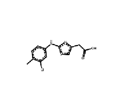 Cc1ccc(Nc2nc(CC(=O)O)cs2)cc1Cl